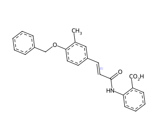 Cc1cc(/C=C/C(=O)Nc2ccccc2C(=O)O)ccc1OCc1ccccc1